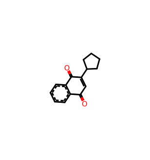 O=C1C=C(C2CCCC2)C(=O)c2ccccc21